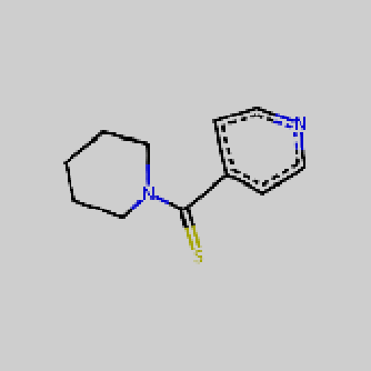 S=C(c1ccncc1)N1CCCCC1